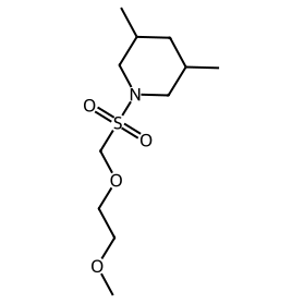 COCCOCS(=O)(=O)N1CC(C)CC(C)C1